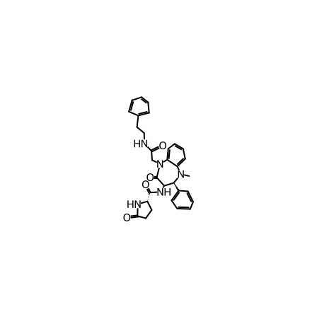 CN1c2ccccc2N(CC(=O)NCCc2ccccc2)C(=O)[C@H](NC(=O)[C@@H]2CCC(=O)N2)[C@@H]1c1ccccc1